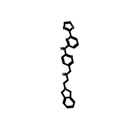 c1cc(Nc2ccc(CNCCN3Cc4ccccc4C3)cn2)nc(-c2nccs2)c1